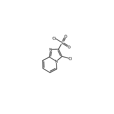 O=S(=O)(Cl)c1nc2ccccn2c1Cl